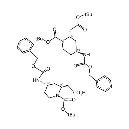 CC(C)(C)OC(=O)C[C@@H]1C[C@@H](NC(=O)OCc2ccccc2)CCN1C(=O)OC(C)(C)C.CC(C)(C)OC(=O)N1CC[C@H](NC(=O)OCc2ccccc2)C[C@H]1CC(=O)O